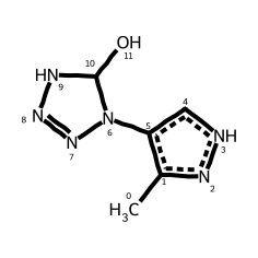 Cc1n[nH]cc1N1N=NNC1O